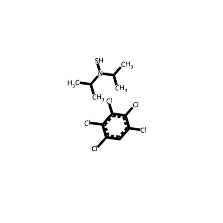 CC(C)N(S)C(C)C.Clc1cc(Cl)c(Cl)c(Cl)c1Cl